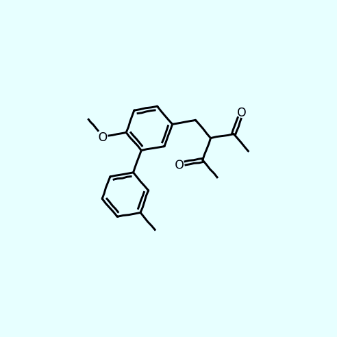 COc1ccc(CC(C(C)=O)C(C)=O)cc1-c1cccc(C)c1